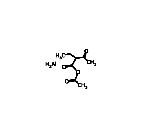 CCC(C(C)=O)C(=O)OC(C)=O.[AlH3]